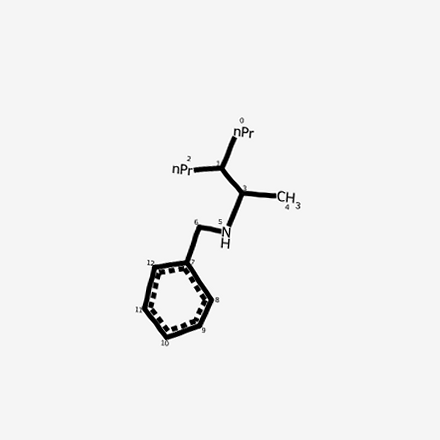 CCCC(CCC)C(C)NCc1ccccc1